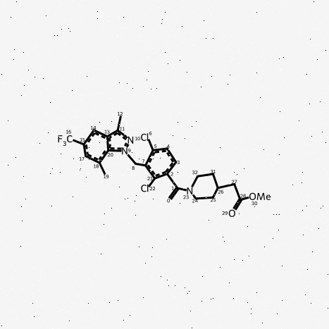 C=C(c1ccc(Cl)c(Cn2nc(C)c3cc(C(F)(F)F)cc(C)c32)c1Cl)N1CCC(CC(=O)OC)CC1